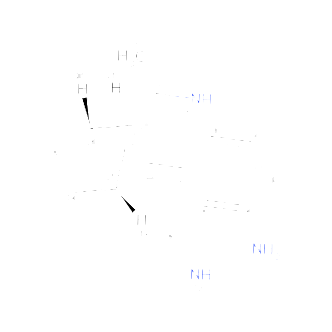 C[C@@H]1Nc2ccc(N)c(C=N)c2C2[C@@H]3CC[C@@H](C3)[C@H]21